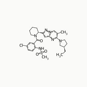 CC[C@@H]1CCN(c2nc3cc([C@@H]4CCCCN4C(=O)c4cc(Cl)ccc4NS(C)(=O)=O)nn3cc2C)C1